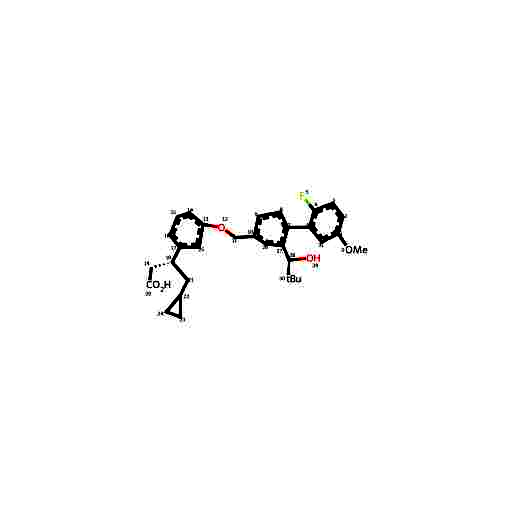 COc1ccc(F)c(-c2ccc(COc3cccc([C@@H](CC(=O)O)CC4CC4)c3)cc2[C@@H](O)C(C)(C)C)c1